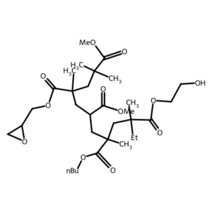 CCCCOC(=O)C(C)(CC(CC(C)(CC(C)(C)C(=O)OC)C(=O)OCC1CO1)C(=O)OC)CC(C)(CC)C(=O)OCCO